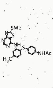 CSc1nc2ncnc(Nc3cc(C)ccc3Sc3ccc(NC(C)=O)cc3)c2s1